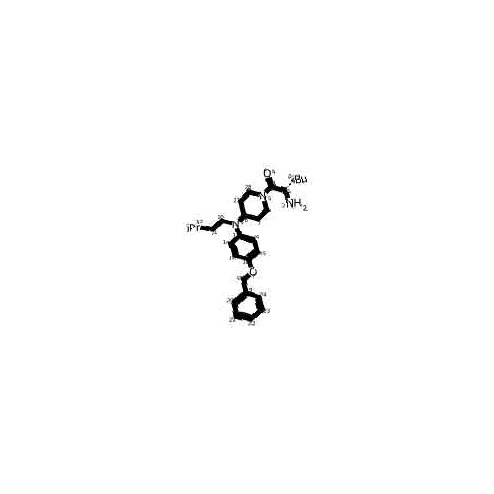 CCC(C)[C@H](N)C(=O)N1CCC(N(CCC(C)C)c2ccc(OCc3ccccc3)cc2)CC1